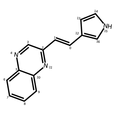 C(=Cc1cnc2ccccc2n1)c1cc[nH]c1